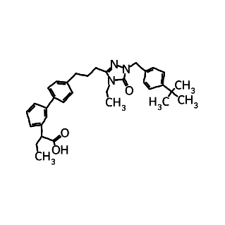 CCC(C(=O)O)c1cccc(-c2ccc(CCCc3nn(Cc4ccc(C(C)(C)C)cc4)c(=O)n3CC)cc2)c1